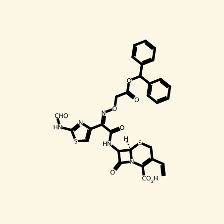 C=CC1=C(C(=O)O)N2C(=O)C(NC(=O)/C(=N\OCC(=O)OC(c3ccccc3)c3ccccc3)c3csc(NC=O)n3)[C@H]2SC1